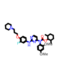 COc1ccc(N(C(=O)OC2C(C)CCCC2C)c2ccnc(Nc3ccc(OCCCN4CCCCC4)c(F)c3)n2)c(OC)c1